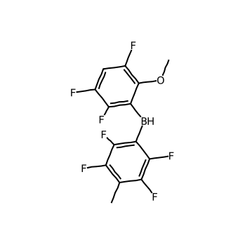 COc1c(F)cc(F)c(F)c1Bc1c(F)c(F)c(C)c(F)c1F